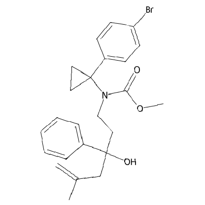 C=C(C)CC(O)(CCN(C(=O)OC)C1(c2ccc(Br)cc2)CC1)c1ccccc1